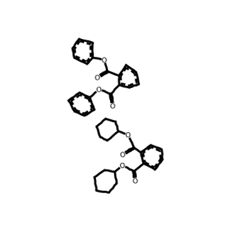 O=C(OC1CCCCC1)c1ccccc1C(=O)OC1CCCCC1.O=C(Oc1ccccc1)c1ccccc1C(=O)Oc1ccccc1